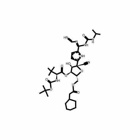 CC(C)NC(=O)N/C(=N/C=N)c1ccc([C@]2(C#N)O[C@H](COC(=O)CC3CCCCC3)[C@@H](OC(=O)[C@@H](NC(=O)OC(C)(C)C)C(C)(C)C)[C@H]2O)[nH]1